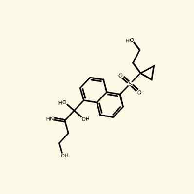 N=C(CCO)C(O)(O)c1cccc2c(S(=O)(=O)C3(CCO)CC3)cccc12